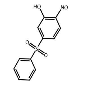 O=Nc1ccc(S(=O)(=O)c2ccccc2)cc1O